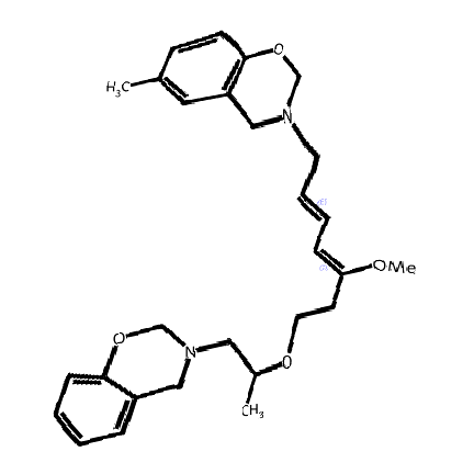 CO/C(=C\C=C\CN1COc2ccc(C)cc2C1)CCOC(C)CN1COc2ccccc2C1